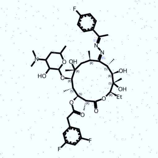 CC[C@H]1OC(=O)[C@H](C)[C@@H](OC(=O)Cc2cc(F)cc(F)c2)[C@H](C)[C@@H](OC2OC(C)CC(N(C)C)C2O)[C@](C)(O)C[C@@H](C)/C(=N\N=C(/C)c2ccc(F)cc2)[C@H](C)[C@@H](O)[C@]1(C)O